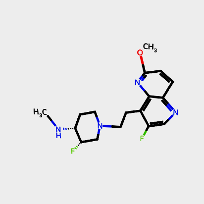 CN[C@@H]1CCN(CCc2c(F)cnc3ccc(OC)nc23)C[C@@H]1F